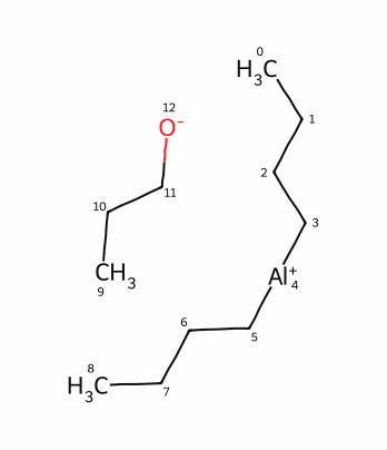 CCC[CH2][Al+][CH2]CCC.CCC[O-]